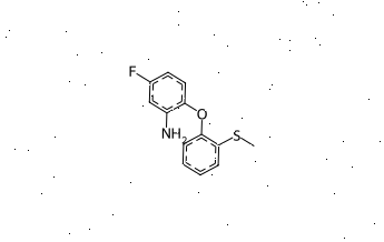 CSc1ccccc1Oc1ccc(F)cc1N